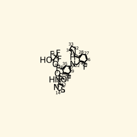 O=C(O)C(F)(F)F.O=S(=O)(Nc1cscn1)c1c(F)cc(NCc2c(F)cccc2CN2CCC2)cc1F